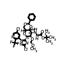 COCO[C@@H]1[C@@H](NNC(=O)OC(C)(C)C)[C@H]2OC(c3ccccc3)OC[C@H]2O[C@H]1c1nc(Cl)nn1-c1cc(Cl)cnc1C(F)(F)F